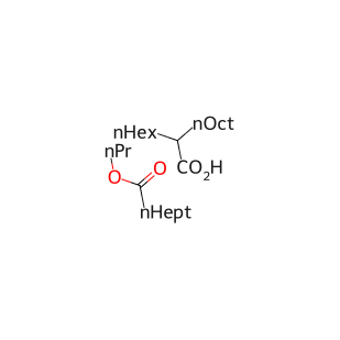 CCCCCCCC(=O)OCCC.CCCCCCCCC(CCCCCC)C(=O)O